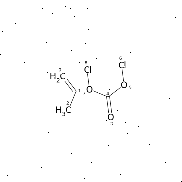 C=CC.O=C(OCl)OCl